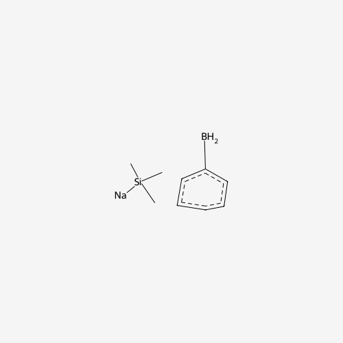 Bc1ccccc1.C[Si](C)(C)[Na]